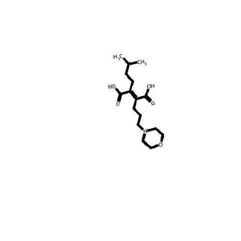 CC(C)CCC(C(=O)O)=C(CCCN1CCOCC1)C(=O)O